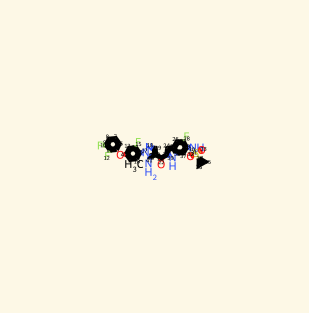 Cc1cc(Oc2cccc(F)c2F)cc(F)c1-n1ncc(C(=O)c2cc3cc(F)c(NS(=O)(=O)C4CC4)cc3[nH]2)c1N